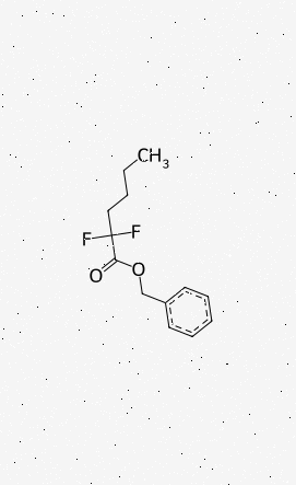 CCCCC(F)(F)C(=O)OCc1ccccc1